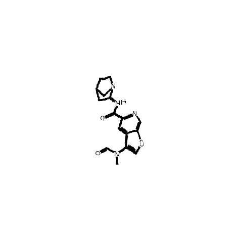 CN(C=O)c1coc2cnc(C(=O)NC3CC4CCN3C4)cc12